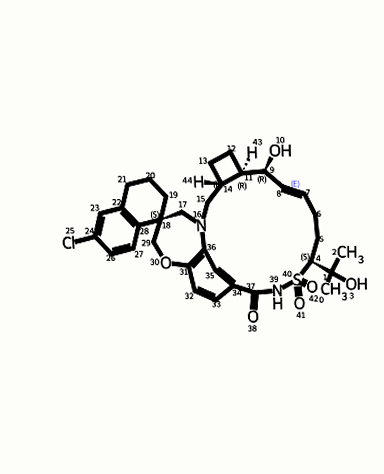 CC(C)(O)[C@@H]1CC/C=C/[C@H](O)[C@@H]2CC[C@H]2CN2C[C@@]3(CCCc4cc(Cl)ccc43)COc3ccc(cc32)C(=O)NS1(=O)=O